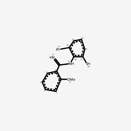 COc1ccccc1C(=N)Nc1c(C(C)C)cccc1C(C)C